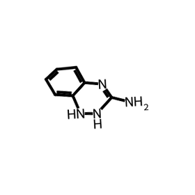 NC1=Nc2ccccc2NN1